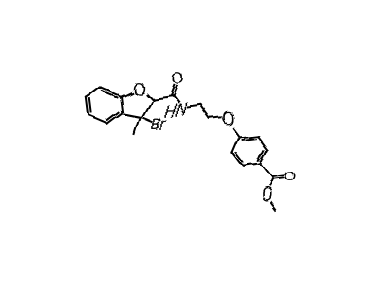 COC(=O)c1ccc(OCCNC(=O)C2Oc3ccccc3C2(C)Br)cc1